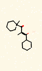 C/C(C(=O)C1(C)CCCCC1)=C(/O)C1CCCCC1